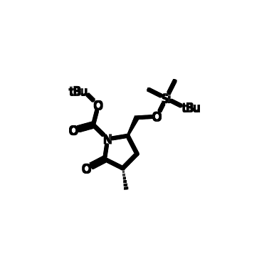 C[C@H]1C[C@H](CO[Si](C)(C)C(C)(C)C)N(C(=O)OC(C)(C)C)C1=O